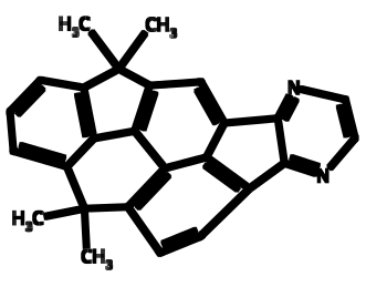 CC1(C)c2cccc3c2-c2c1cc1c4c(ccc(c24)C3(C)C)-c2nccnc2-1